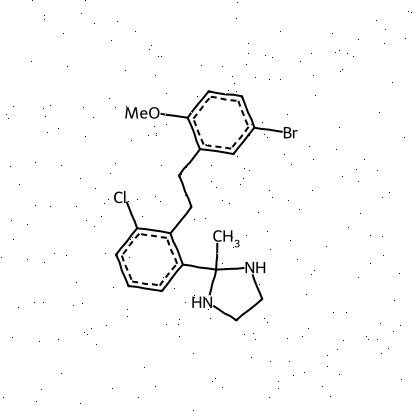 COc1ccc(Br)cc1CCc1c(Cl)cccc1C1(C)NCCN1